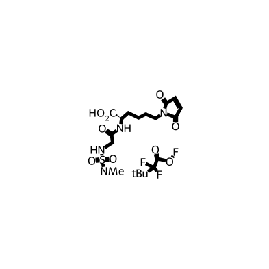 CC(C)(C)C(F)(F)C(=O)OF.CNS(=O)(=O)NCC(=O)N[C@@H](CCCCN1C(=O)C=CC1=O)C(=O)O